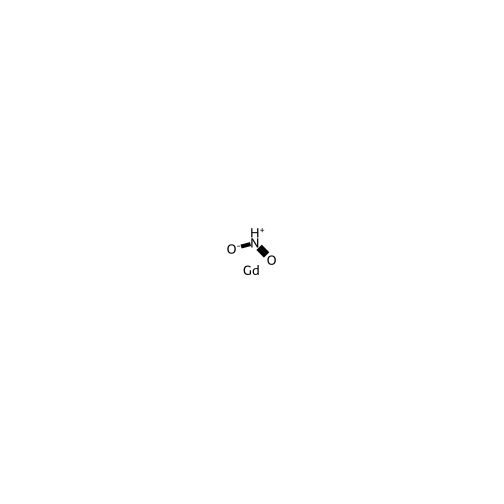 O=[NH+][O-].[Gd]